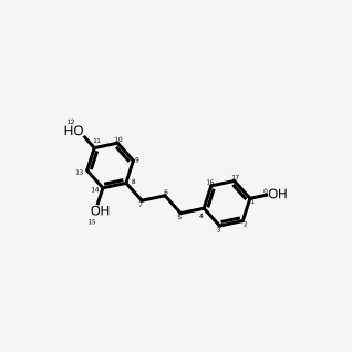 Oc1ccc(CCCc2ccc(O)cc2O)cc1